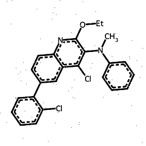 CCOc1nc2ccc(-c3[c]cccc3Cl)cc2c(Cl)c1N(C)c1ccccc1